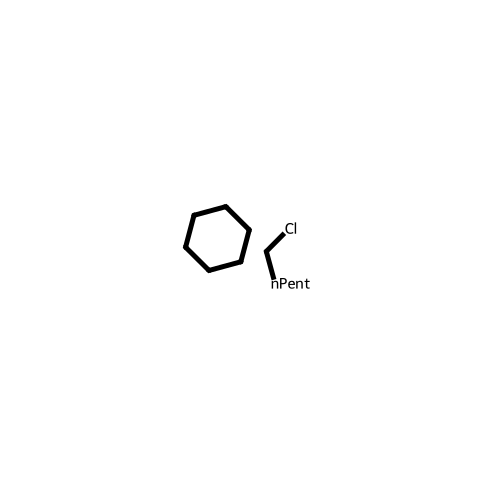 C1CCCCC1.CCCCCCCl